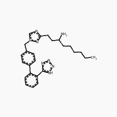 CCCCCCC(N)CCc1ncn(Cc2ccc(-c3ccccc3-c3nnn[nH]3)cc2)n1